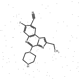 CCc1cn2c(n1)c(N1CCNCC1)nc1cc(F)c(C#N)cc12